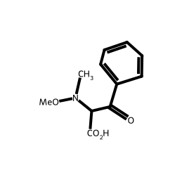 CON(C)C(C(=O)O)C(=O)c1ccccc1